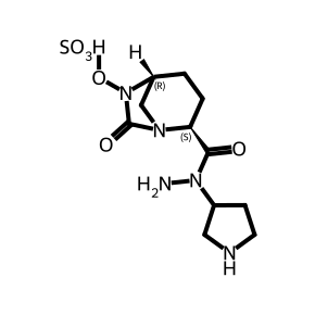 NN(C(=O)[C@@H]1CC[C@@H]2CN1C(=O)N2OS(=O)(=O)O)C1CCNC1